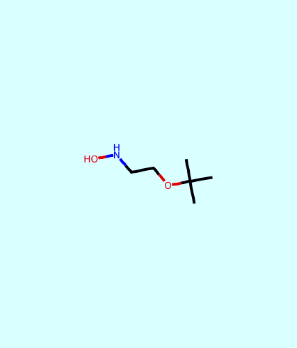 CC(C)(C)OCCNO